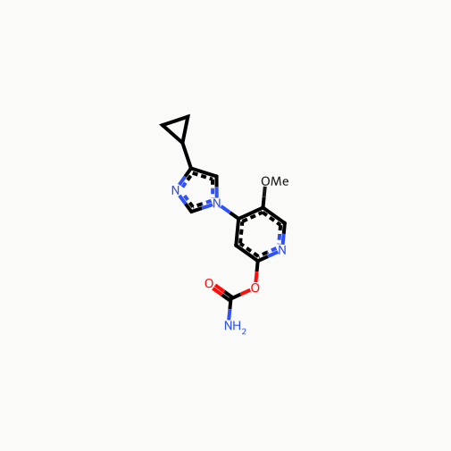 COc1cnc(OC(N)=O)cc1-n1cnc(C2CC2)c1